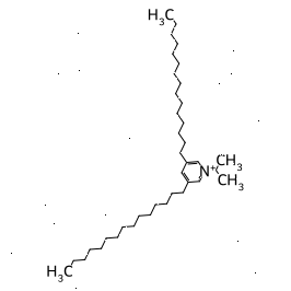 CCCCCCCCCCCCCCCc1cc(CCCCCCCCCCCCCCC)c[n+](C(C)C)c1